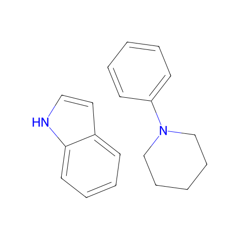 c1ccc(N2CCCCC2)cc1.c1ccc2[nH]ccc2c1